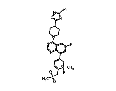 CC(C)c1noc(C2CCN(c3ncnc4c(C5=CC=C(CS(C)(=O)=O)[C@](C)(F)C5)cc(F)cc34)CC2)n1